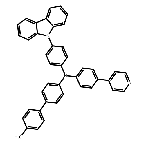 Cc1ccc(-c2ccc(N(c3ccc(-c4ccncc4)cc3)c3ccc(-n4c5ccccc5c5ccccc54)cc3)cc2)cc1